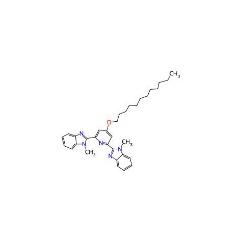 CCCCCCCCCCCCOc1cc(-c2nc3ccccc3n2C)nc(-c2nc3ccccc3n2C)c1